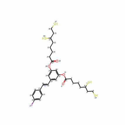 O=C(CCCCC(S)CCS)Oc1cc(/C=C/c2ccc(I)cc2)cc(OC(=O)CCCCC(S)CCS)c1